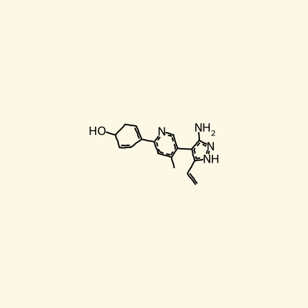 C=Cc1[nH]nc(N)c1-c1cnc(C2=CCC(O)C=C2)cc1C